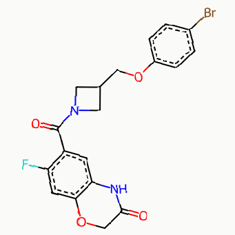 O=C1COc2cc(F)c(C(=O)N3CC(COc4ccc(Br)cc4)C3)cc2N1